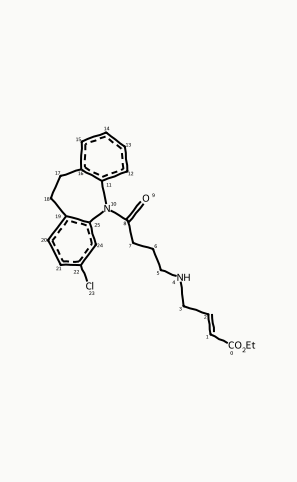 CCOC(=O)/C=C/CNCCCC(=O)N1c2ccccc2CCc2ccc(Cl)cc21